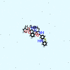 CC(C)C[C@H](NC(=O)c1ccc2c(c1)Nc1ccccc1S2)C(=O)N[C@@H](c1ccccc1)[C@@H](C(=O)OC1CCCO1)N(C)C